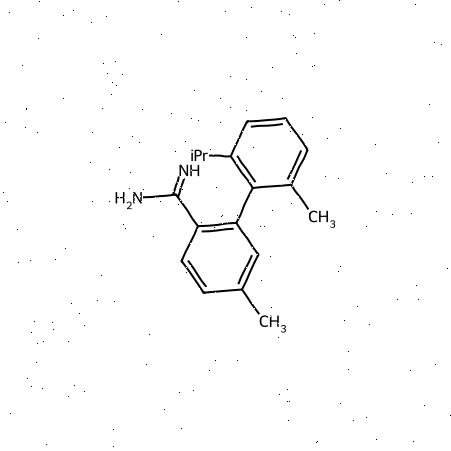 Cc1ccc(C(=N)N)c(-c2c(C)cccc2C(C)C)c1